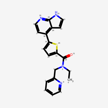 CCN(Cc1ccccn1)C(=O)c1ccc(-c2ccnc3[nH]ccc23)s1